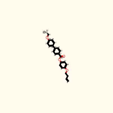 C=CCCOc1ccc(OC(=O)c2ccc(-c3ccc(OCC(C)CC)cc3)cc2)cc1